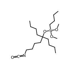 CCCCC(CCCC)(CCCCN=C=O)O[Si](CCCC)(OC)OC